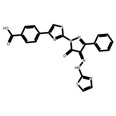 O=C(O)c1ccc(-c2csc(N3N=C(c4ccccc4)C(=NNc4nccs4)C3=O)n2)cc1